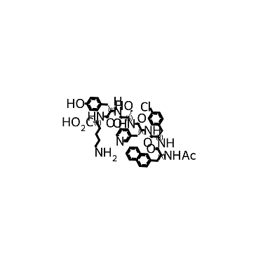 CC(=O)N[C@H](Cc1ccc2ccccc2c1)C(=O)N[C@H](Cc1ccc(Cl)cc1)C(=O)N[C@H](Cc1cccnc1)C(=O)N[C@@H](CO)C(=O)N[C@@H](Cc1ccc(O)cc1)C(=O)N[C@H](CCCCN)C(=O)O